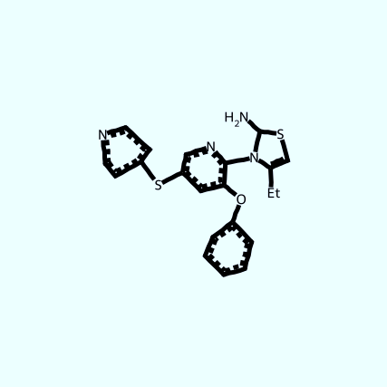 CCC1=CSC(N)N1c1ncc(Sc2ccncc2)cc1Oc1ccccc1